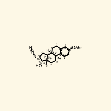 COc1ccc2c(c1)CC[C@@H]1[C@@H]2CC[C@]2(C)[C@H](O)[C@H](N=[N+]=[N-])C[C@@H]12